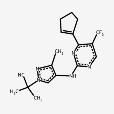 Cc1nn(C(C)(C)C#N)cc1Nc1ncc(C(F)(F)F)c(C2=CCCC2)n1